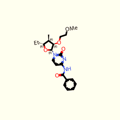 CC[C@H]1O[C@@H](n2ccc(NC(=O)c3ccccc3)nc2=O)[C@H](OCCOC)[C@@H]1C